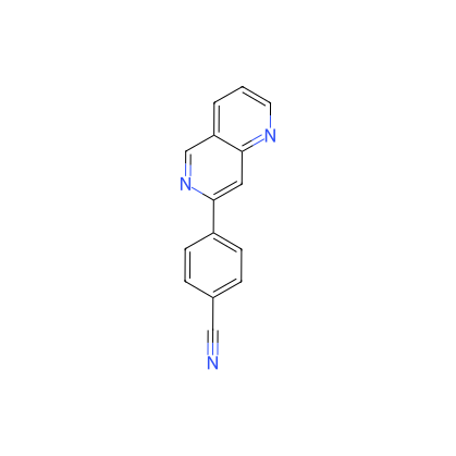 N#Cc1ccc(-c2cc3ncccc3cn2)cc1